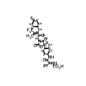 CC(C)[C@@H](NC(=O)O)C(=O)Nc1ccc2c(c1)CCC21OC(=O)N(CC(=O)N(Cc2ccc(F)cc2)[C@@H](C)C(F)(F)F)C1=O